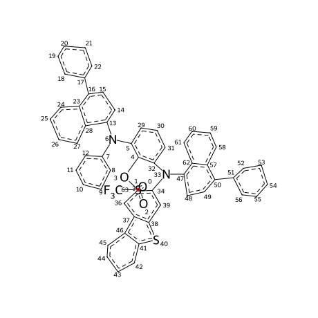 O=S(=O)(Oc1c(N(c2ccccc2)c2ccc(-c3ccccc3)c3ccccc23)cccc1N(c1ccc2c(c1)sc1ccccc12)c1ccc(-c2ccccc2)c2ccccc12)C(F)(F)F